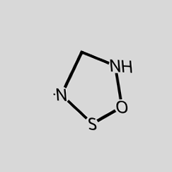 C1[N]SON1